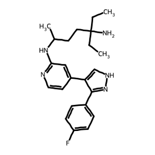 CCC(N)(CC)CCC(C)Nc1cc(-c2c[nH]nc2-c2ccc(F)cc2)ccn1